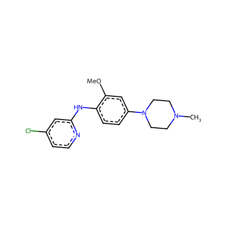 COc1cc(N2CCN(C)CC2)ccc1Nc1cc(Cl)ccn1